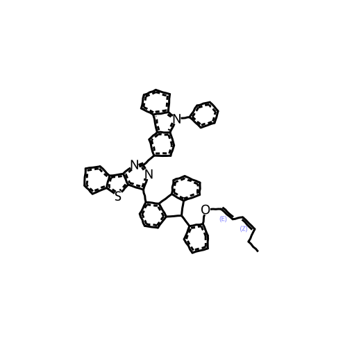 CC/C=C\C=C\Oc1ccccc1C1c2ccccc2-c2c(-c3nc(-c4ccc5c(c4)c4ccccc4n5-c4ccccc4)nc4c3sc3ccccc34)cccc21